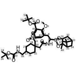 COc1c(CC(NC(=O)CC2(C[N+](=O)[O-])CCC(CNC(=O)OC(C)(C)C)CC2)B2OC3CC4CC(C4(C)C)C3(C)O2)cccc1C(=O)OC(C)(C)C